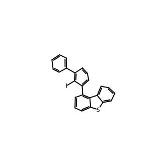 Ic1c(-c2ccccc2)cccc1-c1cccc2sc3ccccc3c12